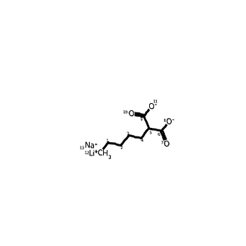 CCCCCC(C(=O)[O-])C(=O)[O-].[Li+].[Na+]